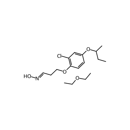 CCC(C)Oc1ccc(OCCC=NO)c(Cl)c1.CCOCC